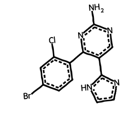 Nc1ncc(-c2ncc[nH]2)c(-c2ccc(Br)cc2Cl)n1